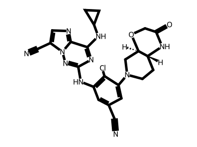 N#Cc1cc(Nc2nc(NC3CC3)c3ncc(C#N)n3n2)c(Cl)c(N2CC[C@H]3NC(=O)CO[C@@H]3C2)c1